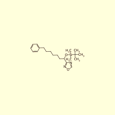 CC(C)(C)[Si](C)(C)OC(CCCCCCc1ccccc1)c1ncon1